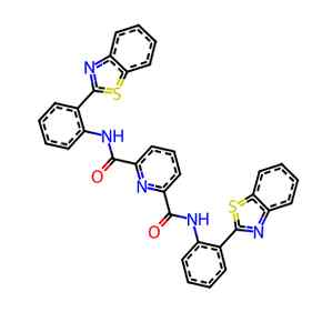 O=C(Nc1ccccc1-c1nc2ccccc2s1)c1cccc(C(=O)Nc2ccccc2-c2nc3ccccc3s2)n1